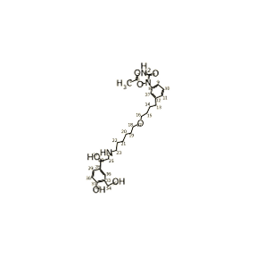 CC(=O)ON(C(N)=O)c1cccc(CCCCOCCCCCCNC[C@@H](O)c2ccc(O)c(CO)c2)c1